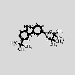 CC(C)(C)c1ccc2[nH]c3ccc(B4OC(C)(C)C(C)(C)O4)cc3c2c1